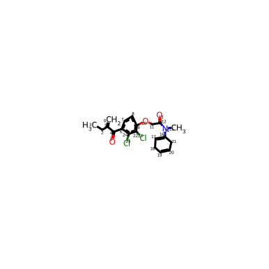 C=C(CC)C(=O)c1ccc(OCC(=O)N(C)C2=CCC=CC2)c(Cl)c1Cl